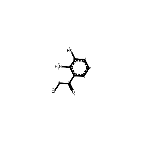 Nc1c(S)cccc1C(=O)CCl